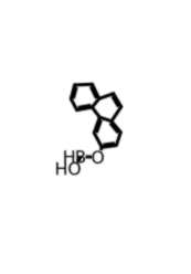 OBOc1ccc2ccc3ccccc3c2c1